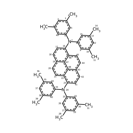 Cc1cc(C)cc(N(c2cc(C)cc(C)c2)c2ccc3ccc4c(N(c5cc(C)cc(C)c5)c5cc(C)cc(C)c5)ccc5ccc2c3c54)c1